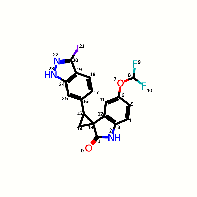 O=C1Nc2ccc(OC(F)F)cc2C12CC2c1ccc2c(I)n[nH]c2c1